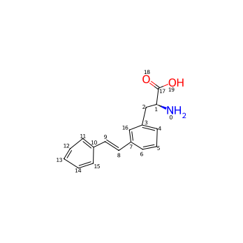 N[C@@H](Cc1cccc(C=Cc2ccccc2)c1)C(=O)O